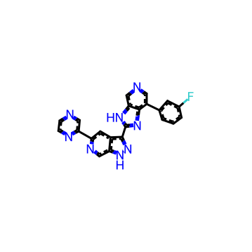 Fc1cccc(-c2cncc3[nH]c(-c4n[nH]c5cnc(-c6cnccn6)cc45)nc23)c1